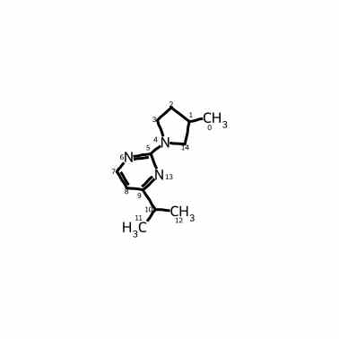 CC1CCN(c2nccc(C(C)C)n2)C1